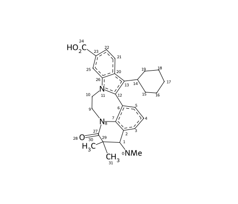 CNC1c2cccc3c2N(CCn2c-3c(C3CCCCC3)c3ccc(C(=O)O)cc32)C(=O)C1(C)C